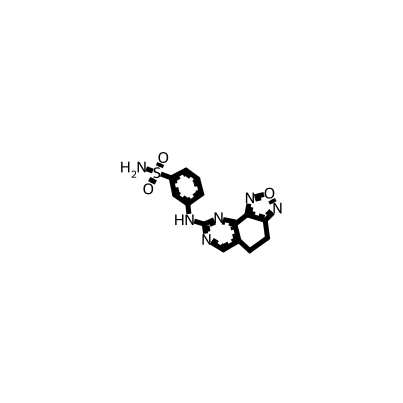 NS(=O)(=O)c1cccc(Nc2ncc3c(n2)-c2nonc2CC3)c1